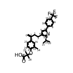 C=C(CCc1cc(-c2ccc(C(F)(F)F)cc2)nn1C(C)C)c1ccc(OC(C)(C)C(=O)O)c(C)c1